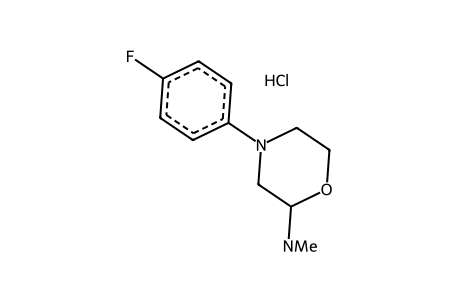 CNC1CN(c2ccc(F)cc2)CCO1.Cl